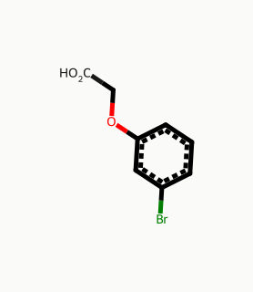 O=C(O)COc1cccc(Br)c1